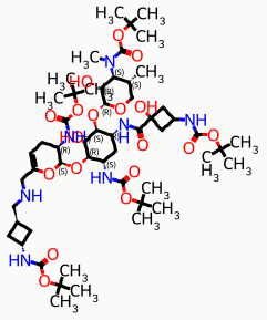 C[C@@H]1CO[C@H](O[C@@H]2[C@@H](O)[C@H](O[C@H]3OC(CNC[C@H]4C[C@H](NC(=O)OC(C)(C)C)C4)=CC[C@H]3NC(=O)OC(C)(C)C)[C@@H](NC(=O)OC(C)(C)C)C[C@H]2NC(=O)C2(O)CC(NC(=O)OC(C)(C)C)C2)[C@H](O)[C@H]1N(C)C(=O)OC(C)(C)C